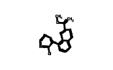 C=C(OC)c1ccc2cccc(-c3cccnc3Cl)c2c1